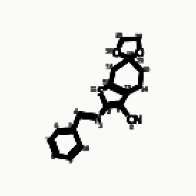 N#Cc1c(/N=C/c2ccccc2)sc2c1CCC1(C2)OCCO1